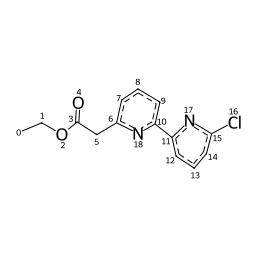 CCOC(=O)Cc1cccc(-c2cccc(Cl)n2)n1